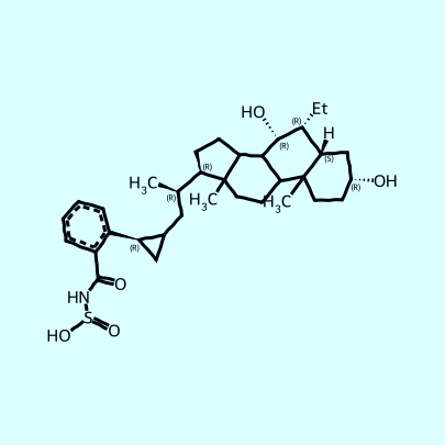 CC[C@H]1[C@@H](O)C2C3CC[C@H]([C@H](C)CC4C[C@H]4c4ccccc4C(=O)NS(=O)O)C3(C)CCC2C2(C)CC[C@@H](O)C[C@@H]12